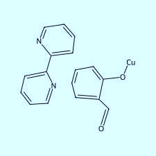 O=Cc1ccccc1[O][Cu].c1ccc(-c2ccccn2)nc1